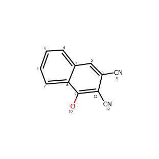 N#Cc1cc2ccccc2c([O])c1C#N